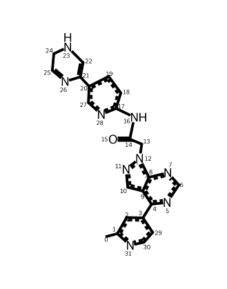 Cc1cc(-c2ncnc3c2cnn3CC(=O)Nc2ccc(C3=CNCC=N3)cn2)ccn1